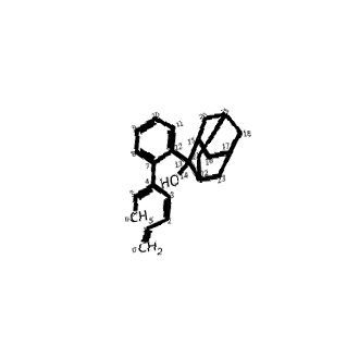 C=C/C=C\C(=C/C)c1ccccc1C1(O)C2CC3CC(C2)CC1C3